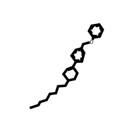 CCCCCCCCC1CC=C(c2ccc(COc3ccccc3)cc2)CC1